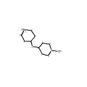 ON1CCC(OC2CCNCC2)CC1